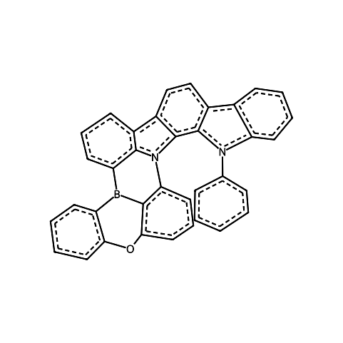 c1ccc(-n2c3ccccc3c3ccc4c5cccc6c5n(c4c32)-c2cccc3c2B6c2ccccc2O3)cc1